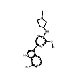 CCOc1nc(-c2c[nH]c3c(C#N)cccc23)cnc1NC1CCN(I)C1